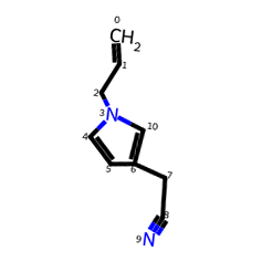 C=CCn1ccc(CC#N)c1